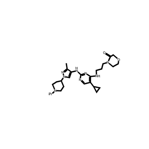 Cc1nn(C2CCN(C(C)C)CC2)cc1Nc1ncc(C2CC2)c(NCCCN2CCOCC2=O)n1